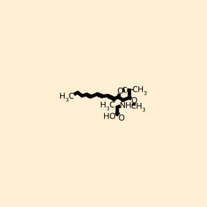 CCC/C=C/C=C/C=C(\C)C1OC[C@H](C)C(OC)C1NCC(=O)O